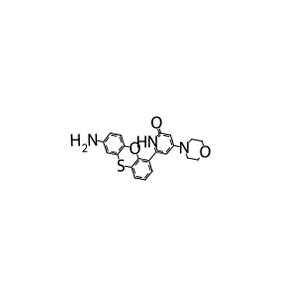 Nc1ccc2c(c1)Sc1cccc(-c3cc(N4CCOCC4)cc(=O)[nH]3)c1O2